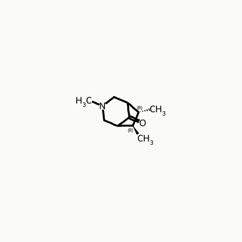 C[C@H]1C2CN(C)CC(C2=O)[C@@H]1C